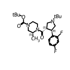 C[C@H]1CN(C(=O)OC(C)(C)C)CCN1C(=O)[C@@H]1CN(C(C)(C)C)C[C@H]1c1ccc(F)cc1F